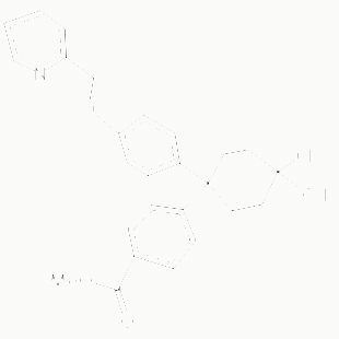 COC(=O)c1ccc(C2(c3ccc(OCc4ccccn4)cc3)CCC(C)(C)CC2)cc1